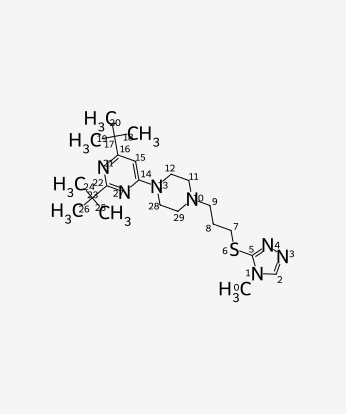 Cn1cnnc1SCCCN1CCN(c2cc(C(C)(C)C)nc(C(C)(C)C)n2)CC1